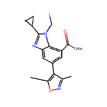 COC(=O)c1cc(-c2c(C)noc2C)cc2nc(C3CC3)n(CI)c12